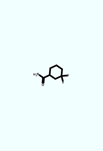 NC(=O)C1CCCC(F)(F)C1